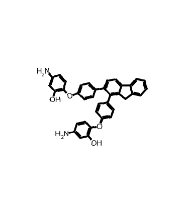 Nc1ccc(Oc2ccc(-c3ccc4c(c3-c3ccc(Oc5ccc(N)cc5O)cc3)Cc3ccccc3-4)cc2)c(O)c1